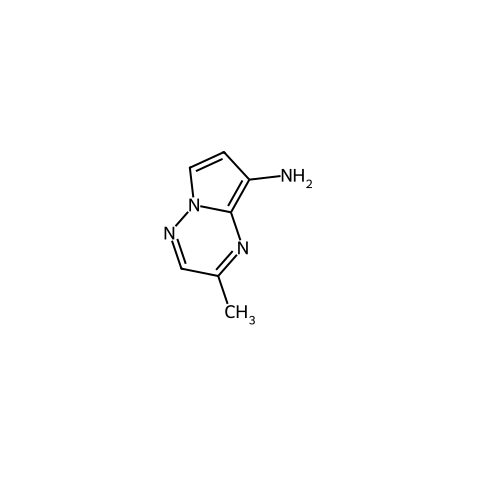 Cc1cnn2ccc(N)c2n1